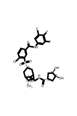 C[C@H]1CC2C[C@@H](S(=O)(=O)c3cc(C(=O)Nc4cc(F)c(F)c(F)c4)ccc3Cl)CC1[C@@]2(O)CNC(=O)[C@@H]1C[C@@H](O)[C@@H](O)C1